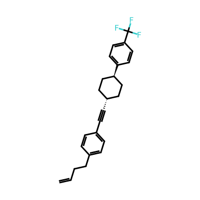 C=CCCc1ccc(C#C[C@H]2CC[C@H](c3ccc(C(F)(F)F)cc3)CC2)cc1